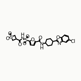 O=C(NC1CCC(c2nc3cc(Cl)ccc3o2)CC1)c1ccc(S(=O)(=O)NC(=O)C2CS(=O)(=O)C2)o1